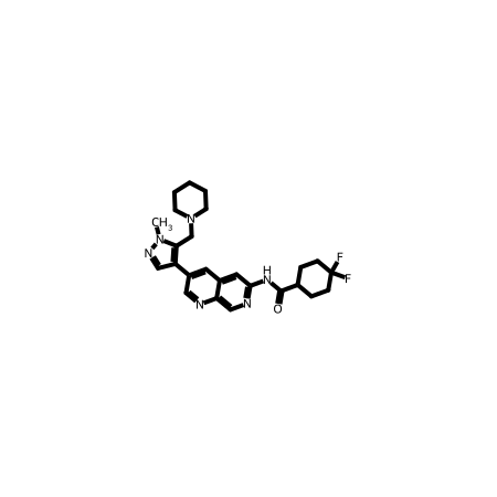 Cn1ncc(-c2cnc3cnc(NC(=O)C4CCC(F)(F)CC4)cc3c2)c1CN1CCCCC1